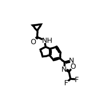 O=C(NC1CCc2cc(-c3noc(C(F)F)n3)ccc21)C1CC1